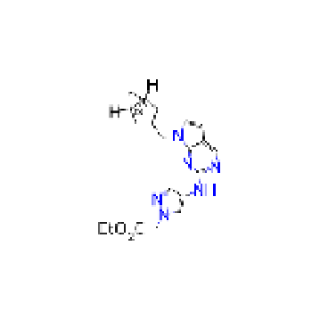 CCOC(=O)Cn1cc(Nc2ncc3ccn(CC4C[C@@H]5C[C@@H]5C4)c3n2)cn1